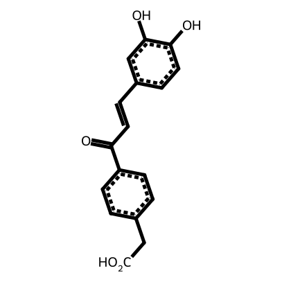 O=C(O)Cc1ccc(C(=O)C=Cc2ccc(O)c(O)c2)cc1